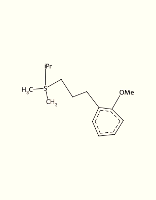 COc1ccccc1CCCS(C)(C)C(C)C